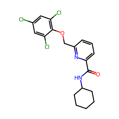 O=C(NC1CCCCC1)c1cccc(COc2c(Cl)cc(Cl)cc2Cl)n1